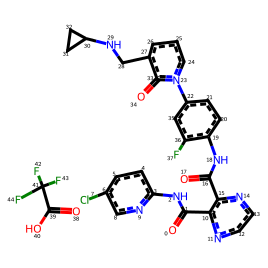 O=C(Nc1ccc(Cl)cn1)c1nccnc1C(=O)Nc1ccc(-n2cccc(CNC3CC3)c2=O)cc1F.O=C(O)C(F)(F)F